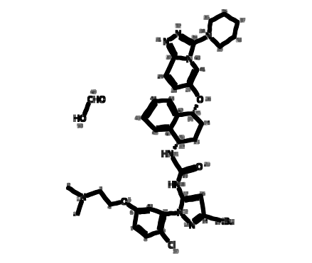 CN(C)CCOc1ccc(Cl)c(-n2nc(C(C)(C)C)cc2NC(=O)N[C@H]2CC[C@@H](Oc3ccc4nnc(N5CCCCC5)n4c3)c3ccccc32)c1.O=CO